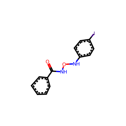 O=C(NONc1ccc(I)cc1)c1ccccc1